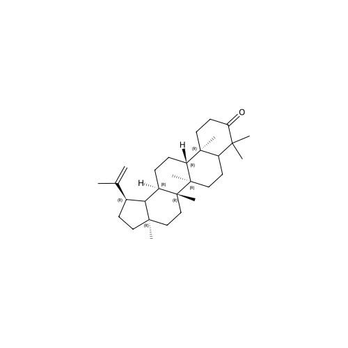 C=C(C)[C@@H]1CC[C@]2(C)CC[C@]3(C)[C@H](CC[C@@H]4[C@@]5(C)CCC(=O)C(C)(C)C5CC[C@]43C)C12